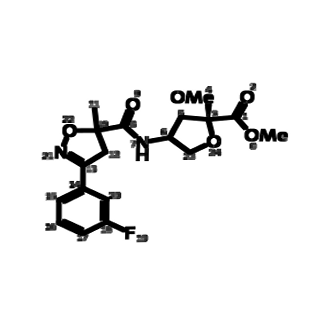 COC(=O)[C@@]1(OC)CC(NC(=O)C2(C)CC(c3cccc(F)c3)=NO2)CO1